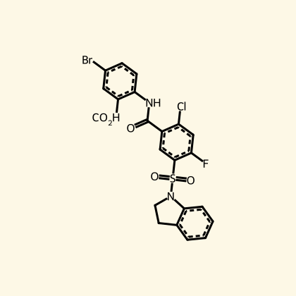 O=C(Nc1ccc(Br)cc1C(=O)O)c1cc(S(=O)(=O)N2CCc3ccccc32)c(F)cc1Cl